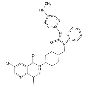 CNc1cnc(-n2c(=O)n(CC3CCC(NC(=O)c4cc(Cl)cnc4C(F)F)CC3)c3ccccc32)cn1